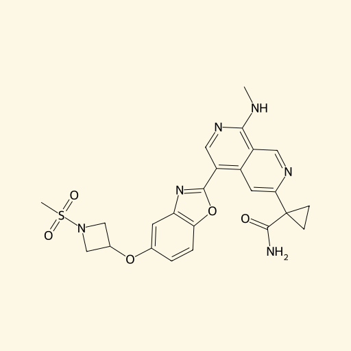 CNc1ncc(-c2nc3cc(OC4CN(S(C)(=O)=O)C4)ccc3o2)c2cc(C3(C(N)=O)CC3)ncc12